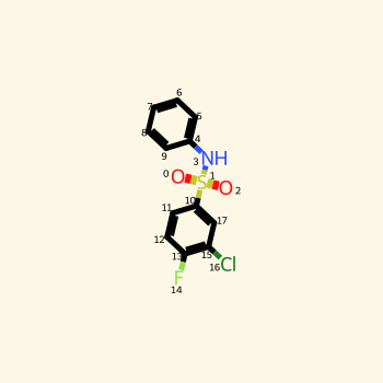 O=S(=O)(Nc1cc[c]cc1)c1ccc(F)c(Cl)c1